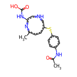 CC(=O)Nc1ccc(Sc2ccc(C)nc(NC(=O)O)c[nH]c2)cc1